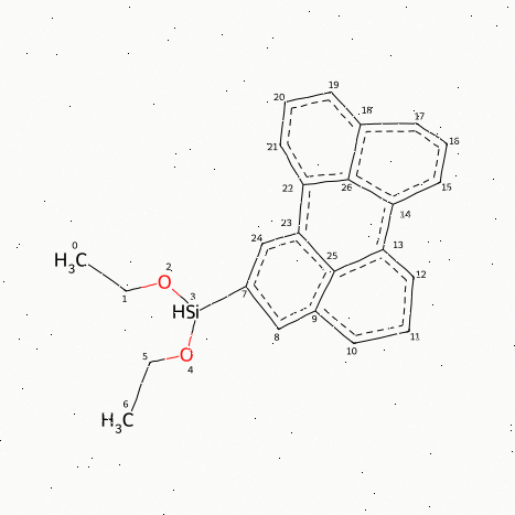 CCO[SiH](OCC)c1cc2cccc3c4cccc5cccc(c(c1)c23)c54